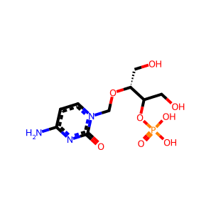 Nc1ccn(CO[C@H](CO)C(CO)OP(=O)(O)O)c(=O)n1